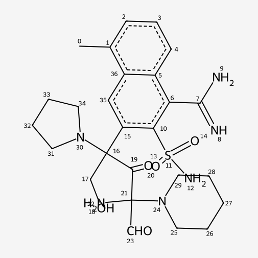 Cc1cccc2c(C(=N)N)c(S(N)(=O)=O)c(C(CO)(C(=O)C(N)(C=O)N3CCCCC3)N3CCCC3)cc12